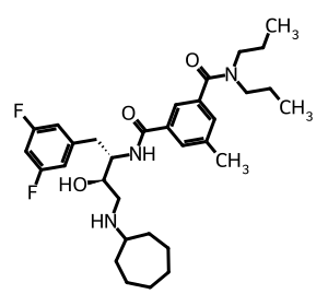 CCCN(CCC)C(=O)c1cc(C)cc(C(=O)N[C@@H](Cc2cc(F)cc(F)c2)[C@H](O)CNC2CCCCCC2)c1